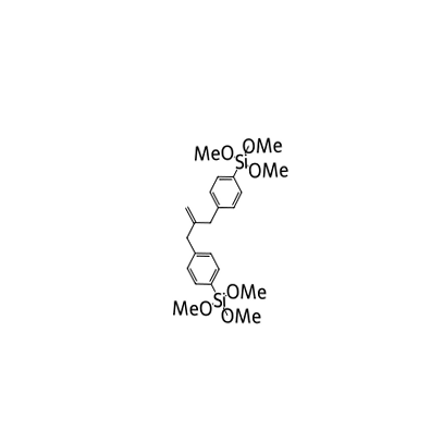 C=C(Cc1ccc([Si](OC)(OC)OC)cc1)Cc1ccc([Si](OC)(OC)OC)cc1